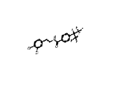 O=C(NCCc1ccc(Cl)c(Cl)c1)c1ccc(C(F)(C(F)(F)F)C(F)(F)F)cc1